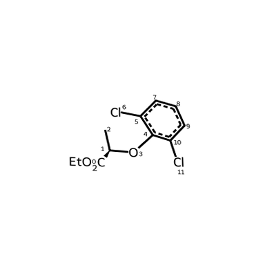 CCOC(=O)[C@@H](C)Oc1c(Cl)cccc1Cl